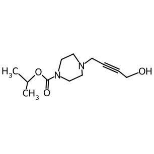 CC(C)OC(=O)N1CCN(CC#CCO)CC1